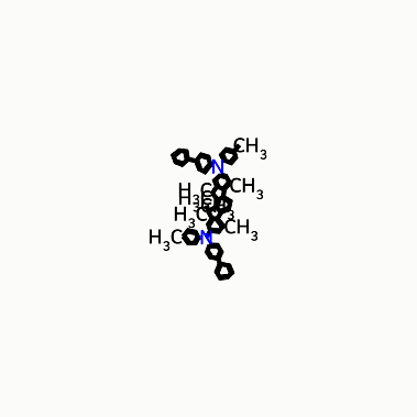 Cc1ccc(N(c2ccc(-c3ccccc3)cc2)c2cc(C)c3c(c2)C(C)(C)c2c-3ccc3c2C(C)(C)c2cc(N(c4ccc(C)cc4)c4ccc(-c5ccccc5)cc4)cc(C)c2-3)cc1